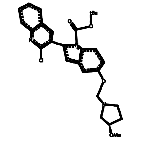 CO[C@@H]1CCN(COc2ccc3c(c2)cc(-c2cc4ccccc4nc2Cl)n3C(=O)OC(C)(C)C)C1